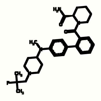 CN(c1ccc(-c2ccccc2C(=O)N2CCCC[C@@H]2C(N)=O)cc1)C1CCN(CC(C)(C)F)CC1